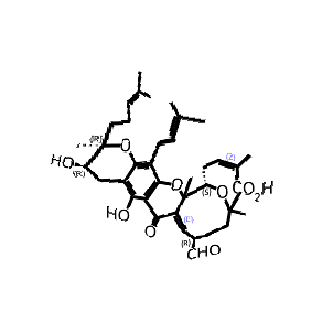 CC(C)=CCC[C@@]1(C)Oc2c(c(O)c3c(c2CC=C(C)C)OC2(C)/C(=C\[C@H](C=O)CCC(C)(C)O[C@H]2C/C=C(/C)C(=O)O)C3=O)C[C@H]1O